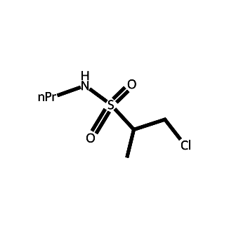 CCCNS(=O)(=O)C(C)CCl